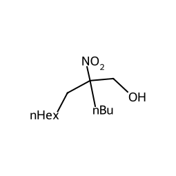 CCCCCCCC(CO)(CCCC)[N+](=O)[O-]